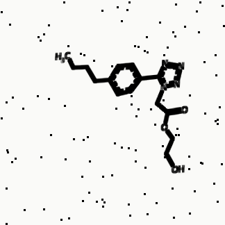 CCCCc1ccc(-c2nnnn2CC(=O)OCCO)cc1